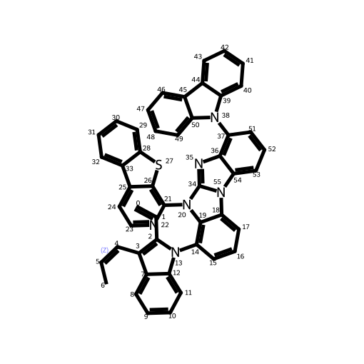 C=Cc1c(/C=C\C)c2ccccc2n1-c1cccc2c1n(-c1nccc3c1sc1ccccc13)c1nc3c(-n4c5ccccc5c5ccccc54)cccc3n21